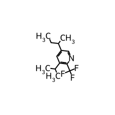 CCC(C)c1cnc(C(F)(F)F)c(C(C)C)c1